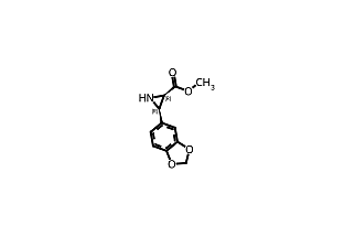 COC(=O)[C@@H]1N[C@@H]1c1ccc2c(c1)OCO2